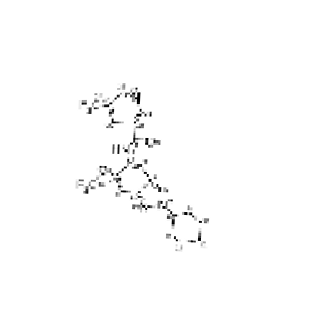 O=C(Nc1cc2cn(C3CCCCC3)nc2cc1OC(F)(F)F)c1cncc(C(F)(F)F)c1